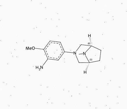 COc1ccc(N2C[C@H]3CC[C@@H](C2)N3C)cc1N